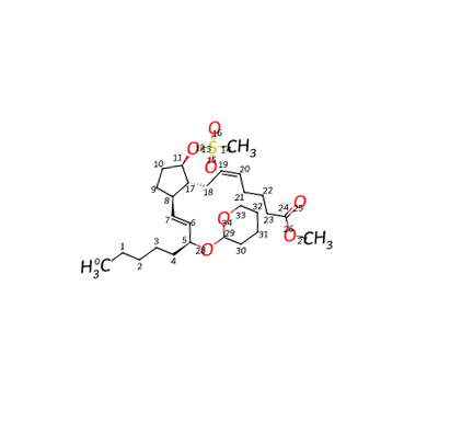 CCCCC[C@@H](/C=C/[C@H]1CC[C@@H](OS(C)(=O)=O)[C@@H]1C/C=C\CCCC(=O)OC)OC1CCCCO1